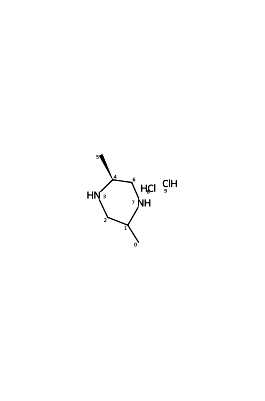 CC1CN[C@@H](C)CN1.Cl.Cl